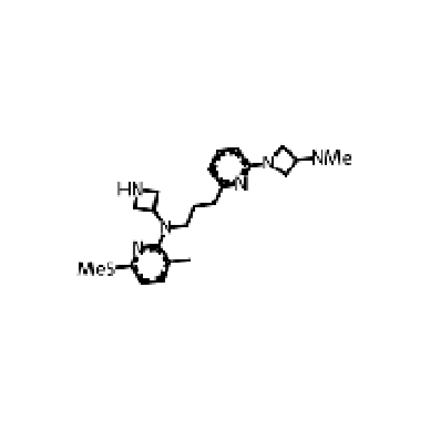 CNC1CN(c2cccc(CCCN(c3nc(SC)ccc3C)C3CNC3)n2)C1